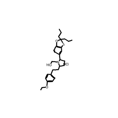 CCCC1(CCC)Oc2ccc(C3CCC(CCc4ccc(OCC)cc4)N3CO)cc2S1.Cl